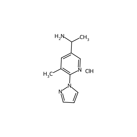 Cc1cc(C(C)N)cnc1-n1cccn1.Cl